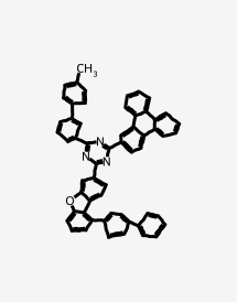 Cc1ccc(-c2cccc(-c3nc(-c4ccc5c(c4)oc4cccc(-c6ccc(-c7ccccc7)cc6)c45)nc(-c4ccc5c6ccccc6c6ccccc6c5c4)n3)c2)cc1